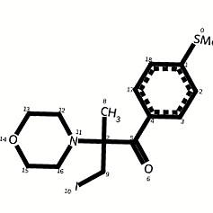 CSc1ccc(C(=O)C(C)(CI)N2CCOCC2)cc1